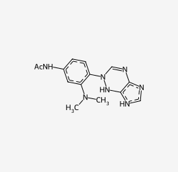 CC(=O)Nc1ccc(N2C=Nc3nc[nH]c3N2)c(N(C)C)c1